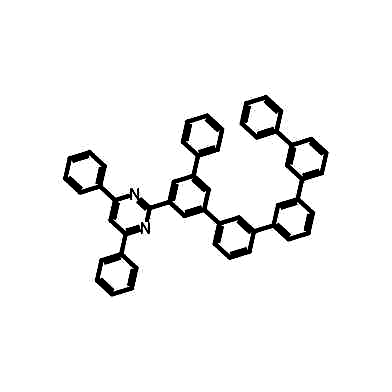 c1ccc(-c2cccc(-c3cccc(-c4cccc(-c5cc(-c6ccccc6)cc(-c6nc(-c7ccccc7)cc(-c7ccccc7)n6)c5)c4)c3)c2)cc1